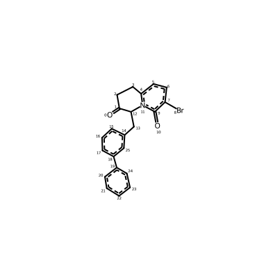 O=C1CCc2ccc(Br)c(=O)n2C1Cc1cccc(-c2ccccc2)c1